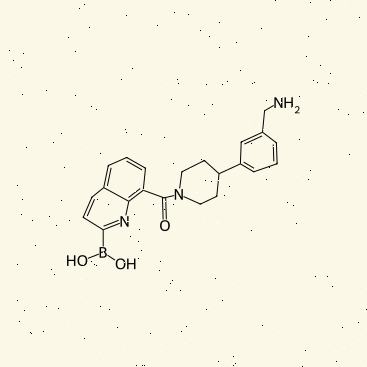 NCc1cccc(C2CCN(C(=O)c3cccc4ccc(B(O)O)nc34)CC2)c1